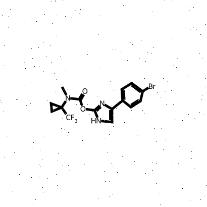 CN(C(=O)Oc1nc(-c2ccc(Br)cc2)c[nH]1)C1(C(F)(F)F)CC1